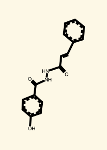 O=C(/C=C/c1ccccc1)NNC(=O)c1ccc(O)cc1